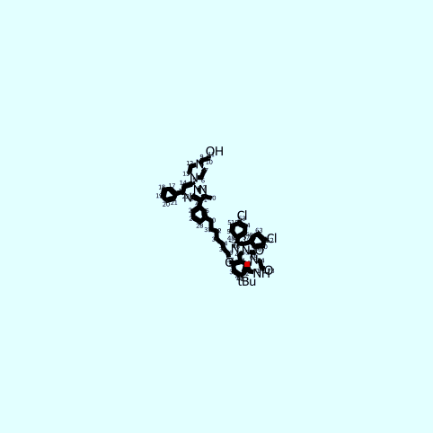 Cc1nn2c(N3CCN(CCO)CC3)cc(-c3ccccc3)nc2c1-c1cccc(CCCCCCCOc2cc(C(C)(C)C)ccc2C2=N[C@@](C)(c3ccc(Cl)cc3)[C@@](C)(c3ccc(Cl)cc3)N2C(=O)N2CCNC(=O)C2)c1